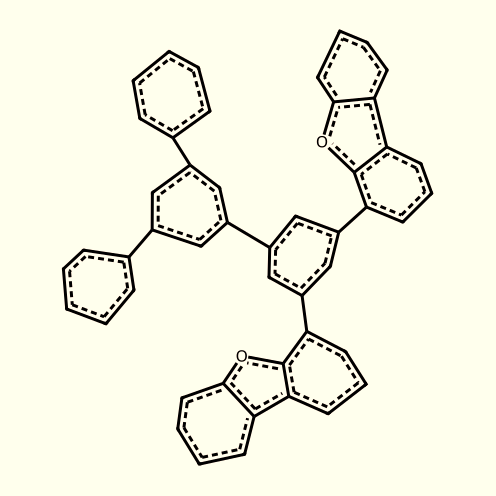 c1ccc(-c2cc(-c3ccccc3)cc(-c3cc(-c4cccc5c4oc4ccccc45)cc(-c4cccc5c4oc4ccccc45)c3)c2)cc1